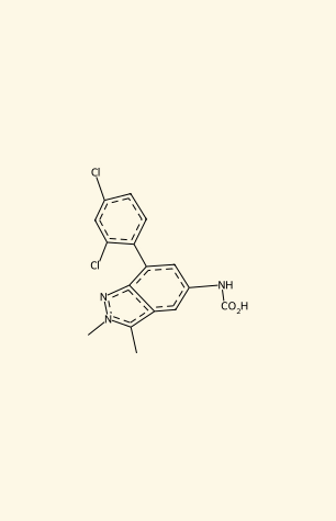 Cc1c2cc(NC(=O)O)cc(-c3ccc(Cl)cc3Cl)c2nn1C